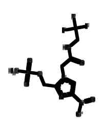 CS(=O)(=O)OCc1nc([N+](=O)[O-])cn1CC(=O)NCC(F)(F)F